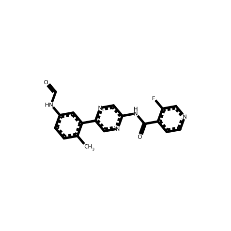 Cc1ccc(NC=O)cc1-c1cnc(NC(=O)c2ccncc2F)cn1